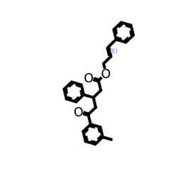 Cc1cccc(C(=O)CC(CC(=O)OC/C=C/c2ccccc2)c2ccccc2)c1